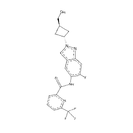 O=C(Nc1cc2cn([C@H]3C[C@H](CO)C3)nc2cc1F)c1cccc(C(F)(F)F)n1